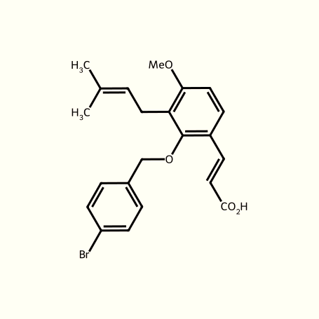 COc1ccc(C=CC(=O)O)c(OCc2ccc(Br)cc2)c1CC=C(C)C